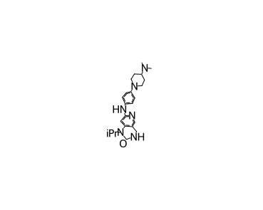 CC(C)N1C(=O)NCc2cnc(Nc3ccc(N4CCC(N(C)C)CC4)cc3)cc21